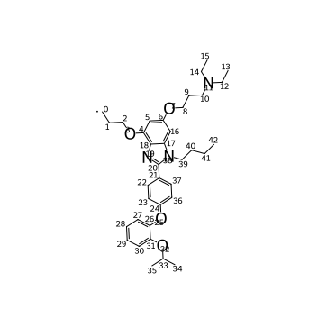 [CH2]CCOc1cc(OCCCN(CC)CC)cc2c1nc(-c1ccc(Oc3ccccc3OC(C)C)cc1)n2CCCC